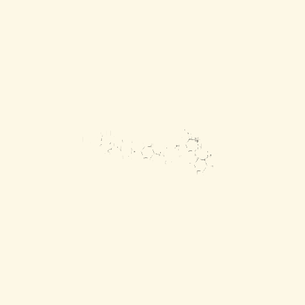 CC(C)(C)OC(=O)N1CCN(c2ccc(N3CCCC(Oc4cc(-c5ccccc5N)nnc4N)C3)cc2)CC1